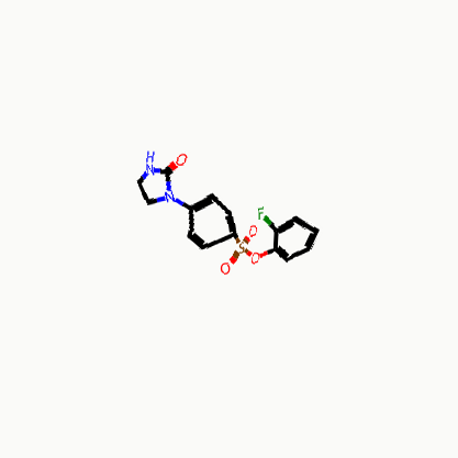 O=C1NCCN1c1ccc(S(=O)(=O)Oc2ccccc2F)cc1